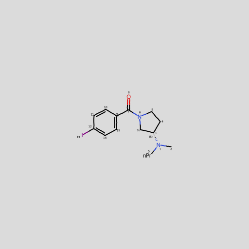 CCCN(C)[C@H]1CCN(C(=O)c2ccc(I)cc2)C1